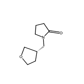 O=C1CCCN1C[C@@H]1CCOC1